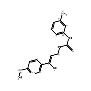 C=C(\C=C/C(=C\C)C(/N)=C/CNC(=C)Nc1cccc(N)c1)NO